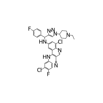 CCN1CCC(n2cc(C(Nc3cc(Cl)c4ncc(C#N)c(Nc5ccc(F)c(Cl)c5)c4c3)c3ccc(F)cc3)nn2)CC1